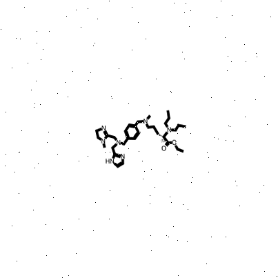 CCCN(CCC)[C@@H](CCCN(C)Cc1ccc(CN(CC2=NCCN2C)Cc2ncc[nH]2)cc1)C(=O)OCC